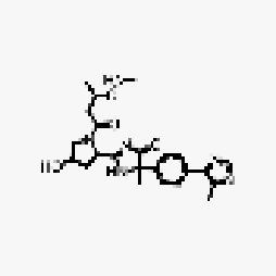 CNOC(C)CC(=O)N1CC(O)CC1C1=NC(=O)C(C)(c2ccc(-c3scnc3C)cc2)N1